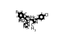 Cc1nc(-c2ccc(Cl)cc2)sc1C(=O)N[C@H](C)[C@](O)(Cn1cncn1)c1ccc(F)cc1F